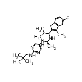 C=C(Nc1cnc(NCC(C)(C)C)nc1)NC(C1=C(C)c2cc(F)ccc2C1)C(C)C